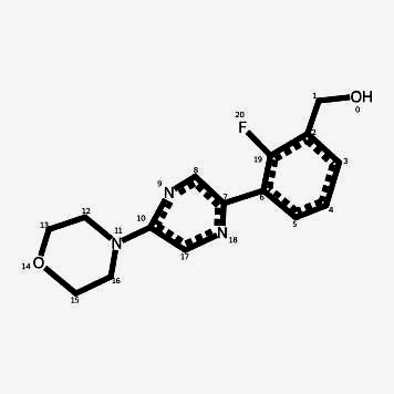 OCc1cccc(-c2cnc(N3CCOCC3)cn2)c1F